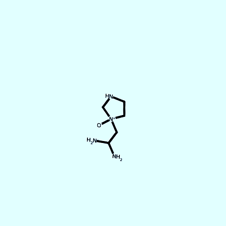 NC(N)C[N+]1([O-])CCNC1